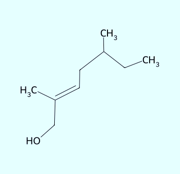 CCC(C)C/C=C(\C)CO